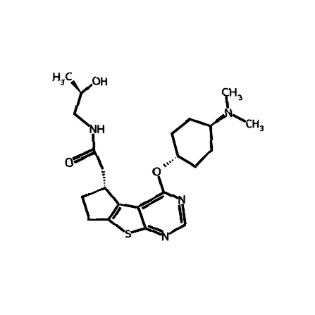 C[C@@H](O)CNC(=O)C[C@H]1CCc2sc3ncnc(O[C@H]4CC[C@H](N(C)C)CC4)c3c21